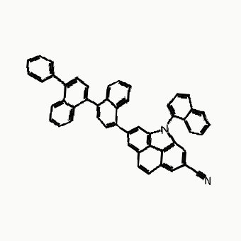 N#Cc1cc2ccc3cc(-c4ccc(-c5ccc(-c6ccccc6)c6ccccc56)c5ccccc45)cc4c3c2c(c1)n4-c1cccc2ccccc12